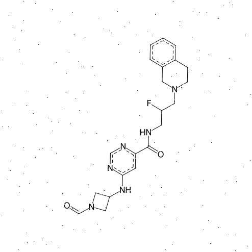 O=CN1CC(Nc2cc(C(=O)NCC(F)CN3CCc4ccccc4C3)ncn2)C1